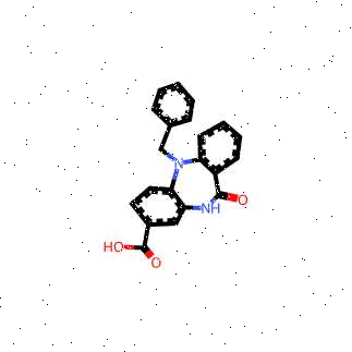 O=C(O)c1ccc2c(c1)NC(=O)c1ccccc1N2Cc1ccccc1